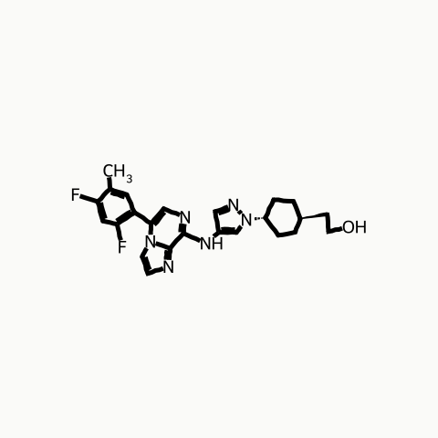 Cc1cc(-c2cnc(Nc3cnn([C@H]4CC[C@H](CCO)CC4)c3)c3nccn23)c(F)cc1F